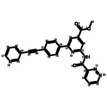 COC(=O)c1cc(NC(=O)c2cccnn2)nc(-c2ccc(C#Cc3cccnc3)cc2)c1